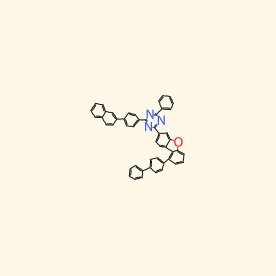 c1ccc(-c2ccc(-c3cccc4oc5cc(-c6nc(-c7ccccc7)nc(-c7ccc(-c8ccc9ccccc9c8)cc7)n6)ccc5c34)cc2)cc1